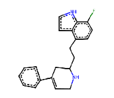 Fc1ccc(CCC2CC(c3ccccc3)=CCN2)c2cc[nH]c12